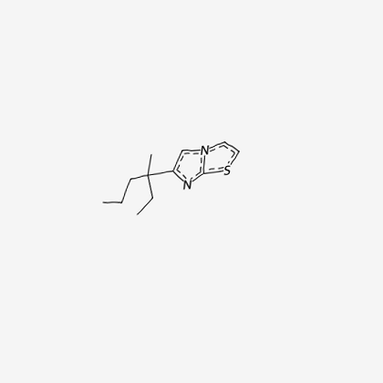 CCCC(C)(CC)c1cn2ccsc2n1